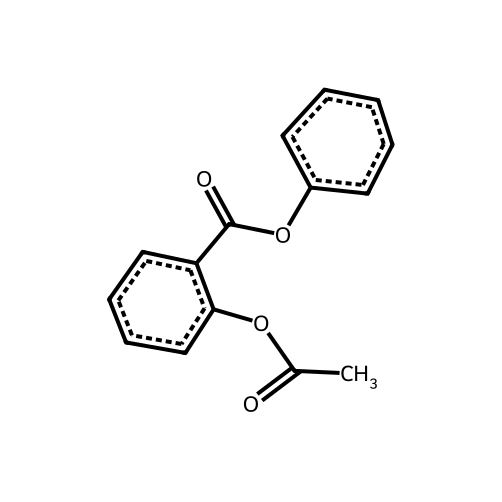 CC(=O)Oc1ccccc1C(=O)Oc1ccccc1